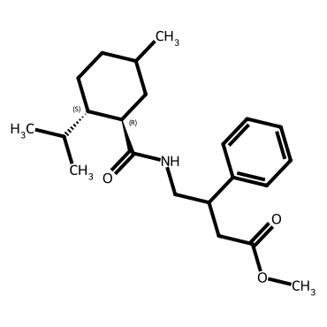 COC(=O)CC(CNC(=O)[C@@H]1CC(C)CC[C@H]1C(C)C)c1ccccc1